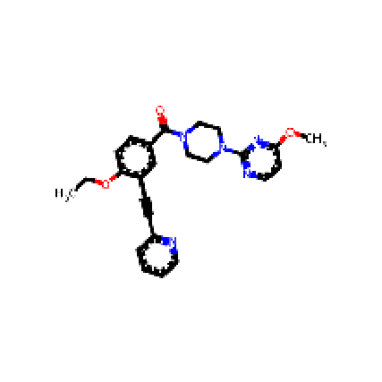 CCOc1ccc(C(=O)N2CCN(c3nccc(OC)n3)CC2)cc1C#Cc1ccccn1